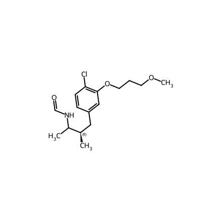 COCCCOc1cc(C[C@@H](C)C(C)NC=O)ccc1Cl